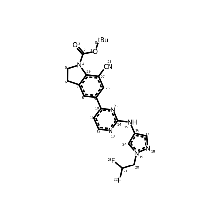 CC(C)(C)OC(=O)N1CCc2cc(-c3ccnc(Nc4cnn(CC(F)F)c4)n3)cc(C#N)c21